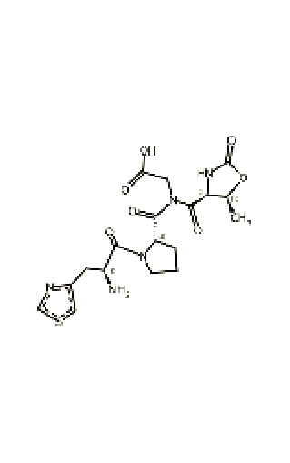 C[C@@H]1OC(=O)N[C@@H]1C(=O)N(CC(=O)O)C(=O)[C@@H]1CCCN1C(=O)[C@@H](N)Cc1cscn1